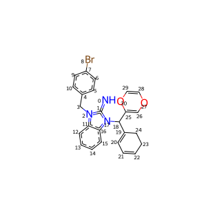 N=c1n(Cc2ccc(Br)cc2)c2ccccc2n1C(C1=CC=CCC1)C1=COC=CO1